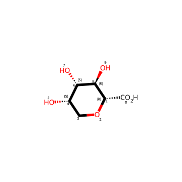 O=C(O)[C@@H]1OC[C@H](O)[C@H](O)[C@H]1O